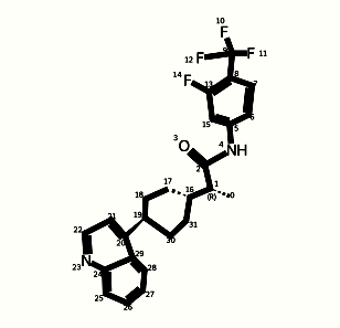 C[C@@H](C(=O)Nc1ccc(C(F)(F)F)c(F)c1)[C@H]1CC[C@H](c2ccnc3ccccc32)CC1